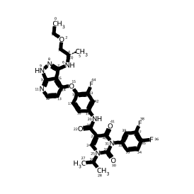 CCOC[C@H](C)Nc1n[nH]c2nccc(Oc3ccc(NC(=O)c4cn(C(C)C)c(=O)n(-c5ccc(F)c(F)c5)c4=O)cc3F)c12